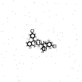 Clc1ccc(C(c2ccccc2I)N2CCN(c3nc4ccc(Cl)cc4n4cccc34)CC2)cc1